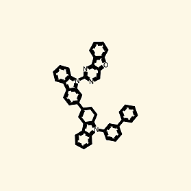 C1=C(c2ccc3c4ccccc4n(-c4ncc5oc6ccccc6c5n4)c3c2)CCc2c1c1ccccc1n2-c1cccc(-c2ccccc2)c1